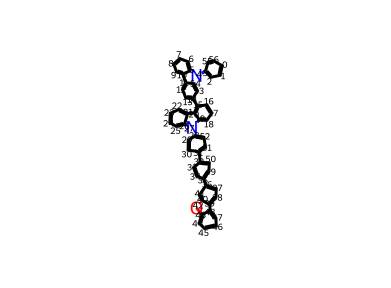 c1ccc(-n2c3ccccc3c3ccc(-c4cccc5c4c4ccccc4n5-c4ccc(-c5ccc(-c6ccc7c(c6)oc6ccccc67)cc5)cc4)cc32)cc1